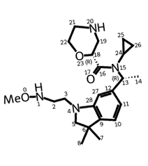 CONCCN1CC(C)(C)c2ccc([C@@H](C)N(C(=O)[C@H]3CNCCO3)C3CC3)cc21